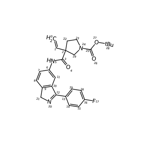 C=CC1(C(=O)Nc2ccc3c(c2)C(c2ccc(F)cc2)=NC3)CCN(C(=O)OC(C)(C)C)C1